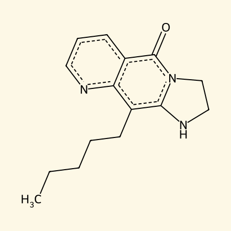 CCCCCc1c2n(c(=O)c3cccnc13)CCN2